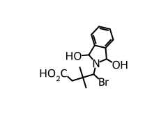 CC(C)(CC(=O)O)C(Br)N1C(O)c2ccccc2C1O